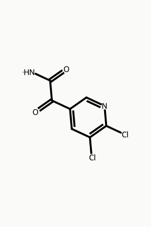 [NH]C(=O)C(=O)c1cnc(Cl)c(Cl)c1